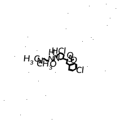 CN(C)CCNC(=O)N1CCCC(C(Cc2ccc(Cl)cc2)=S(=O)=O)C1.Cl